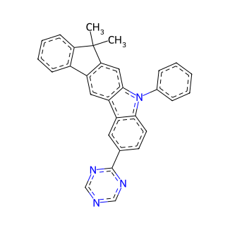 CC1(C)c2ccccc2-c2cc3c4cc(-c5ncncn5)ccc4n(-c4ccccc4)c3cc21